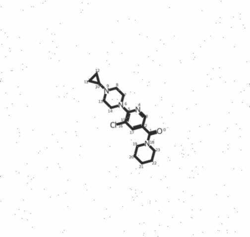 O=C(c1cnc(N2CCN(C3CC3)CC2)c(Cl)c1)N1CCCCC1